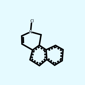 ClN1C=Cc2ccc3ccccc3c2C1